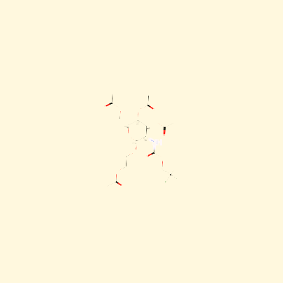 CC(=O)OCCO[C@H]1O[C@H](COC(C)=O)[C@@H](OC(C)=O)[C@H](OC(C)=O)[C@H]1NC(=O)OCC(Cl)(Cl)Cl